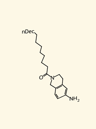 CCCCCCCCCCCCCCCCCC(=O)N1CCc2cc(N)ccc2C1